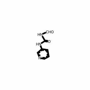 O=CNC(=O)Nc1cccnc1